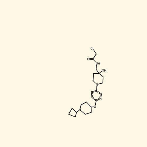 O=C(CCl)NCC1(O)CCN(c2ccc(OC3CCN(C4CCC4)CC3)nc2)CC1